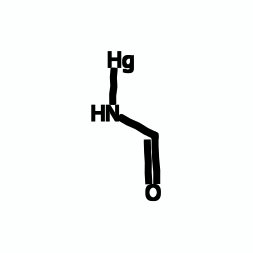 O=C[NH][Hg]